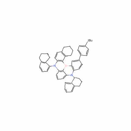 CC(C)(C)c1ccc(-c2ccc3c(c2)B2c4c(cccc4N3C3CCCc4ccccc43)N(c3cccc4c3CCCC4)c3ccc4c(c32)CCCC4)cc1